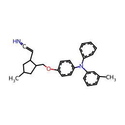 Cc1cccc(N(c2ccccc2)c2ccc(OCC3CC(C)CC3C=C=N)cc2)c1